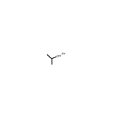 CC(C)O.[Fe]